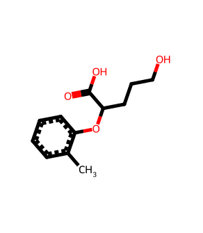 Cc1ccccc1OC(CCCO)C(=O)O